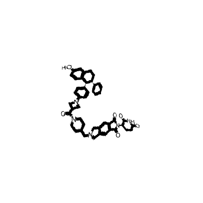 O=C1CC[C@@H](N2C(=O)c3cc4c(cc3C2=O)CN(CC2CCN(C(=O)C3CN(c5ccc([C@@H]6c7ccc(O)cc7CC[C@@H]6c6ccccc6)cc5)C3)CC2)C4)C(=O)N1